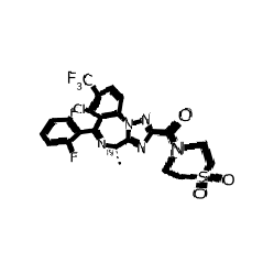 C[C@@H]1N=C(c2c(F)cccc2F)c2c(ccc(C(F)(F)F)c2Cl)-n2nc(C(=O)N3CCS(=O)(=O)CC3)nc21